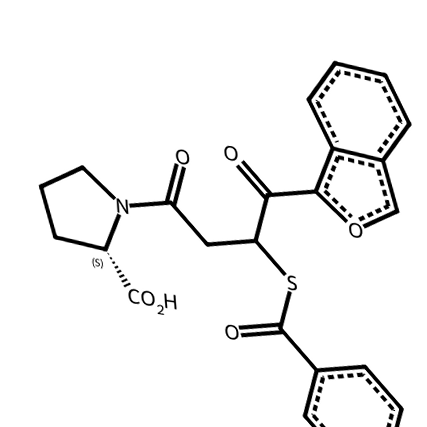 O=C(SC(CC(=O)N1CCC[C@H]1C(=O)O)C(=O)c1occ2ccccc12)c1ccccc1